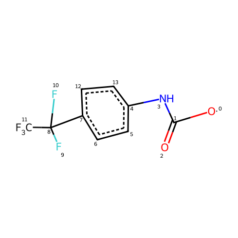 [O]C(=O)Nc1ccc(C(F)(F)C(F)(F)F)cc1